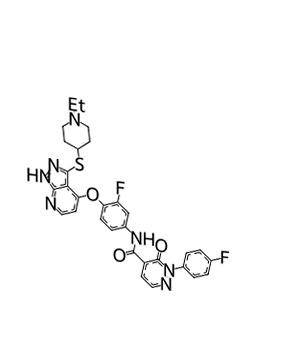 CCN1CCC(Sc2n[nH]c3nccc(Oc4ccc(NC(=O)c5ccnn(-c6ccc(F)cc6)c5=O)cc4F)c23)CC1